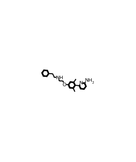 Cc1cc(OCCNCCc2ccccc2)cc(C)c1-c1cccc(N)n1